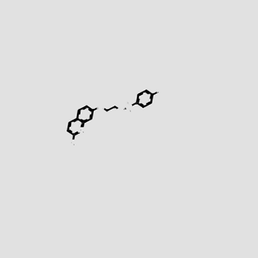 Cc1ccc(S(=O)(=O)OCCOc2ccc3ccc(N)nc3c2)cc1